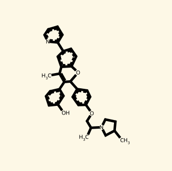 CC1=C(c2cccc(O)c2)C(c2ccc(OCC(C)N3CCC(C)C3)cc2)Oc2ccc(-c3ccccn3)cc21